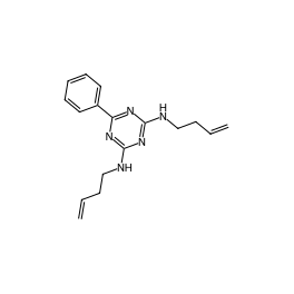 C=CCCNc1nc(NCCC=C)nc(-c2ccccc2)n1